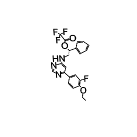 CCOc1ccc(-c2cc(NC[C@H](OC(=O)C(F)(F)F)c3ccccc3)ncn2)cc1F